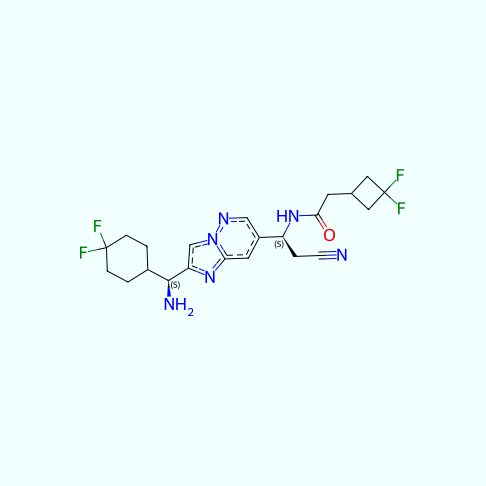 N#CC[C@H](NC(=O)CC1CC(F)(F)C1)c1cnn2cc([C@@H](N)C3CCC(F)(F)CC3)nc2c1